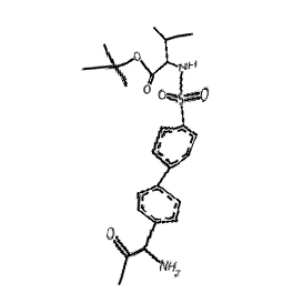 CC(=O)C(N)c1ccc(-c2ccc(S(=O)(=O)NC(C(=O)OC(C)(C)C)C(C)C)cc2)cc1